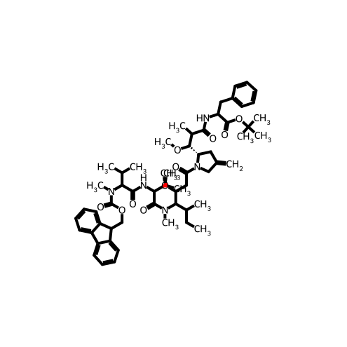 C=C1C[C@@H](C(OC)C(C)C(=O)NC(Cc2ccccc2)C(=O)OC(C)(C)C)N(C(=O)CC(OC)C(C(C)CC)N(C)C(=O)C(NC(=O)C(C(C)C)N(C)C(=O)OCC2c3ccccc3-c3ccccc32)C(C)C)C1